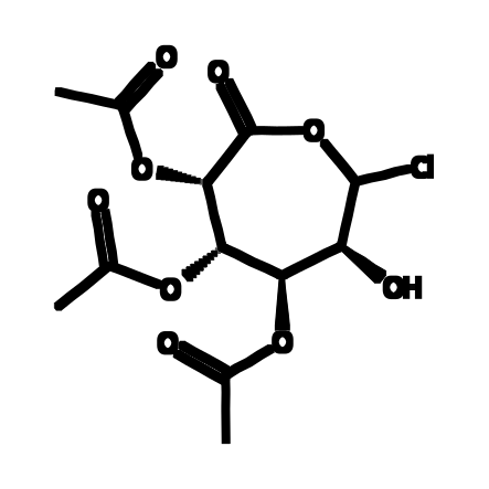 CC(=O)O[C@H]1[C@H](OC(C)=O)[C@H](O)C(Cl)OC(=O)[C@H]1OC(C)=O